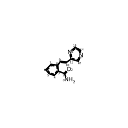 NC(=O)c1ccccc1C=Cc1cnccn1